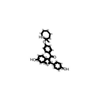 CC1(Oc2ccc(C(=O)c3c(-c4ccc(O)cc4)sc4cc(O)ccc34)cc2)CCCCCN1